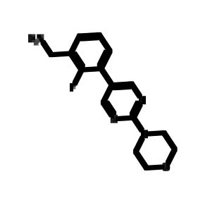 NCc1cccc(-c2cnc(N3CCOCC3)nc2)c1F